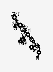 CC(C)c1ccccc1C1CN(Cc2ccc(C#N)cc2)CCN1C1CC2(CCN(c3ccc(C(=O)NS(=O)(=O)c4ccc(NCC5CCC(C)(O)CC5)c([N+](=O)[O-])c4)c(Oc4cnc5[nH]ccc5c4)c3)CC2)C1